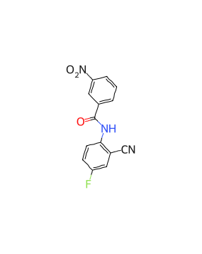 N#Cc1cc(F)ccc1NC(=O)c1cccc([N+](=O)[O-])c1